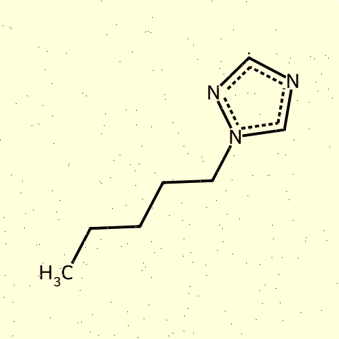 CCCCCn1cn[c]n1